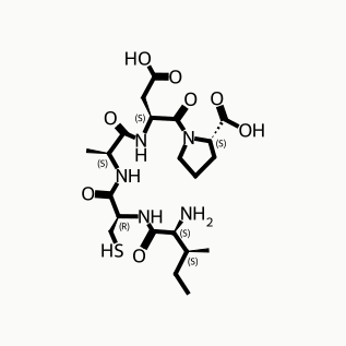 CC[C@H](C)[C@H](N)C(=O)N[C@@H](CS)C(=O)N[C@@H](C)C(=O)N[C@@H](CC(=O)O)C(=O)N1CCC[C@H]1C(=O)O